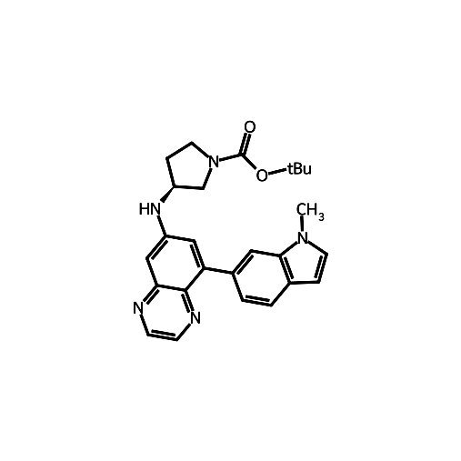 Cn1ccc2ccc(-c3cc(N[C@H]4CCN(C(=O)OC(C)(C)C)C4)cc4nccnc34)cc21